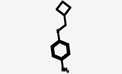 Nc1ccc(SCC2CCC2)cc1